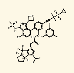 CC(C)(C#Cc1ccc(-c2ccc(Cl)c3c(NS(C)(=O)=O)nn(C4COC4)c23)c([C@H](Cc2cc(F)cc(F)c2)NC(=O)Cn2nc(C(F)F)c3c2C(F)(F)[C@@H]2CC=C[C@H]32)n1)S(=O)(=O)C1CC1